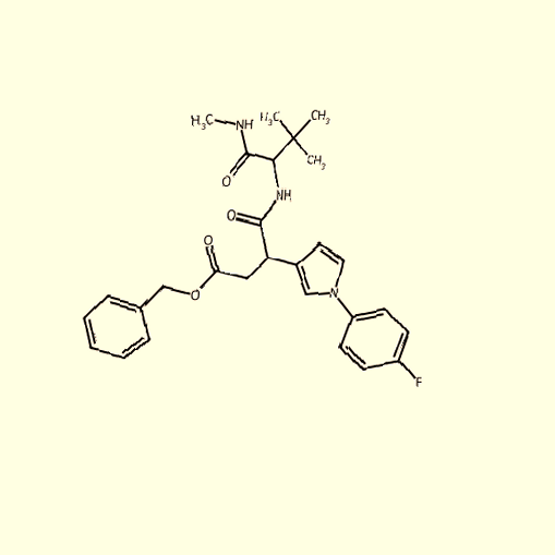 CNC(=O)C(NC(=O)C(CC(=O)OCc1ccccc1)c1ccn(-c2ccc(F)cc2)c1)C(C)(C)C